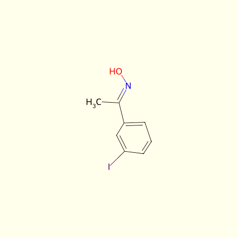 C/C(=N\O)c1cccc(I)c1